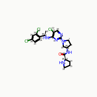 C[C@@H](Nc1nc(N2CC[C@@H](NC(=O)[C@H]3CCCN3)C2)ncc1Cl)c1ccc(Cl)cc1Cl